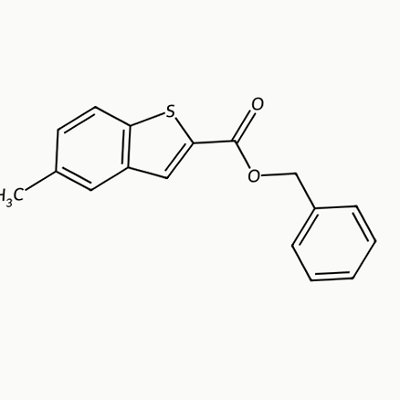 Cc1ccc2sc(C(=O)OCc3ccccc3)cc2c1